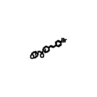 O=C(CN1CCOCC1)N1CCC(/C=C/c2ccc(Br)cc2)CC1